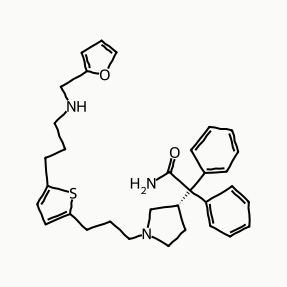 NC(=O)C(c1ccccc1)(c1ccccc1)[C@@H]1CCN(CCCc2ccc(CCCNCc3ccco3)s2)C1